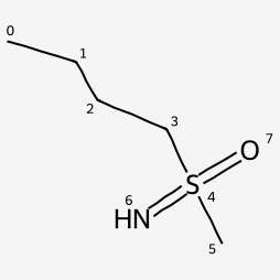 CCCCS(C)(=N)=O